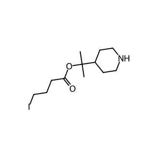 CC(C)(OC(=O)CCCI)C1CCNCC1